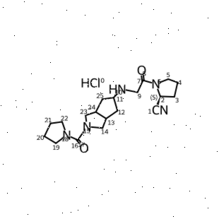 Cl.N#C[C@@H]1CCCN1C(=O)CNC1CC2CN(C(=O)N3CCCC3)CC2C1